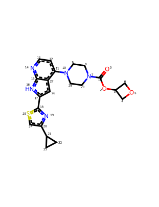 O=C(OC1COC1)N1CCN(c2ccnc3[nH]c(-c4nc(C5CC5)cs4)cc23)CC1